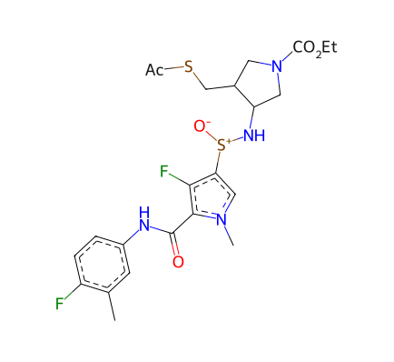 CCOC(=O)N1CC(CSC(C)=O)C(N[S+]([O-])c2cn(C)c(C(=O)Nc3ccc(F)c(C)c3)c2F)C1